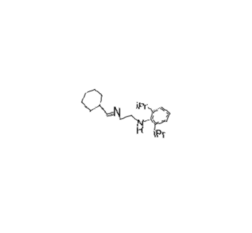 CC(C)c1cccc(C(C)C)c1NCC/N=C/C1CCCCC1